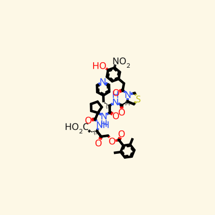 Cc1cccc(C)c1C(=O)OCC(=O)[C@H](CC(=O)O)NC(=O)C1(NC(=O)[C@H](Cc2ccncc2)NC(=O)[C@@H]2CSCN2C(=O)Cc2ccc(O)c([N+](=O)[O-])c2)CCCC1